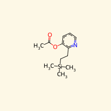 CC(=O)Oc1cccnc1CC[Si](C)(C)C